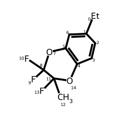 CCc1ccc2c(c1)OC(F)(F)C(C)(F)O2